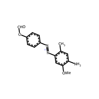 COc1cc(/N=N/c2ccc(OC=O)cc2)c(C)cc1N